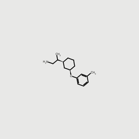 Cc1cccc(O[C@@H]2CCC[C@H](C(C)CN)C2)c1